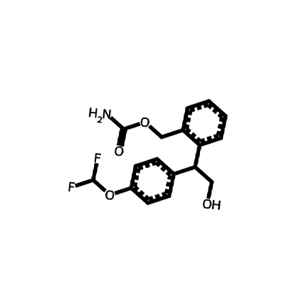 NC(=O)OCc1ccccc1C(CO)c1ccc(OC(F)F)cc1